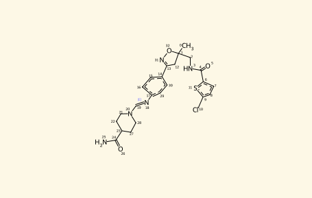 CC1(CNC(=O)c2ccc(Cl)s2)CC(c2ccc(/N=C/N3CCC(C(N)=O)CC3)cc2)=NO1